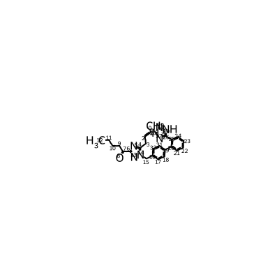 CC=CCc1nc(C(=O)CCCC)nn1Cc1ccc(-c2ccccc2-c2nnn[nH]2)cc1